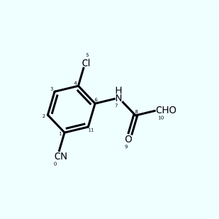 N#Cc1ccc(Cl)c(NC(=O)C=O)c1